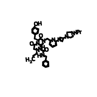 C=CCN1CC(=O)N2[C@@H](Cc3ccc(O)cc3)C(=O)N(Cc3cccc(N4CC(N5CCN(C(C)C)CC5)C4)n3)C[C@@H]2N1C(=O)NCc1ccccc1